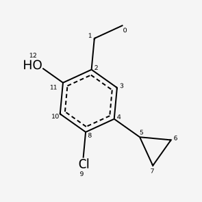 CCc1cc(C2CC2)c(Cl)cc1O